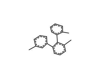 Cc1cccc(-c2[c]ccc(C)c2-c2ccccc2C)c1